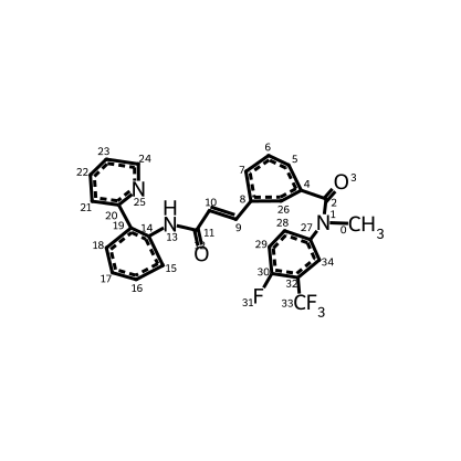 CN(C(=O)c1cccc(C=CC(=O)Nc2ccccc2-c2ccccn2)c1)c1ccc(F)c(C(F)(F)F)c1